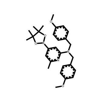 COc1ccc(CN(Cc2ccc(OC)cc2)c2cc(B3OC(C)(C)C(C)(C)O3)cc(C)n2)cc1